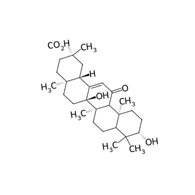 CC1(C)C2CC[C@]3(C)C(C(=O)C=C4[C@H]5C[C@@](C)(C(=O)O)CC[C@]5(C)CC[C@]43O)[C@@]2(C)CC[C@@H]1O